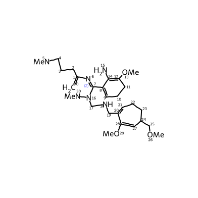 C=C(CCCNC)/N=C(/C1=CCCC(OC)=C1N)N(CNCC1=CCCC(COC)C=C1OC)NC